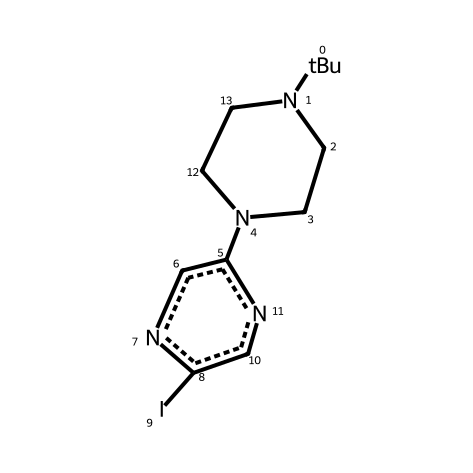 CC(C)(C)N1CCN(c2cnc(I)cn2)CC1